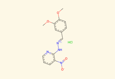 COc1ccc(/C=N/Nc2ncccc2[N+](=O)[O-])cc1OC.Cl